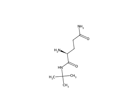 CC(C)(C)NC(=O)[C@@H](N)CCC(N)=O